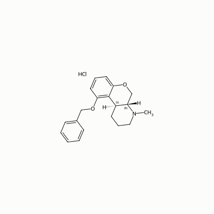 CN1CCC[C@H]2c3c(OCc4ccccc4)cccc3OC[C@@H]21.Cl